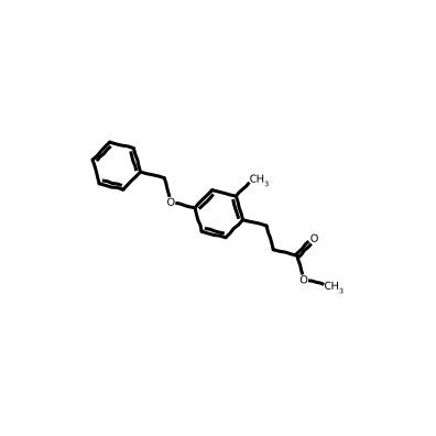 COC(=O)CCc1ccc(OCc2ccccc2)cc1C